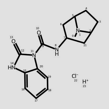 CN1C2CCC1CC(NC(=O)n1c(=O)[nH]c3ccccc31)C2.[Cl-].[H+]